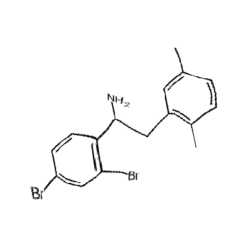 Cc1ccc(C)c(CC(N)c2ccc(Br)cc2Br)c1